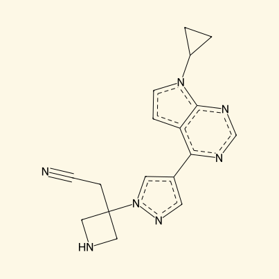 N#CCC1(n2cc(-c3ncnc4c3ccn4C3CC3)cn2)CNC1